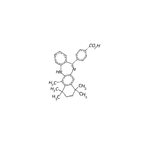 Cc1c2c(cc3c1C(C)(C)CCC3(C)C)N=C(c1ccc(C(=O)O)cc1)c1ccccc1N2